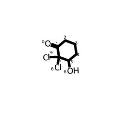 O=C1CCCC(O)C1(Cl)Cl